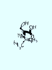 C[SiH](C)N[C@@H](CO)C(=O)O